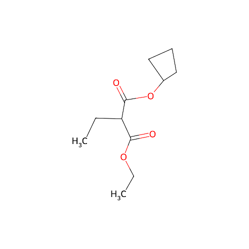 CCOC(=O)C(CC)C(=O)OC1CCC1